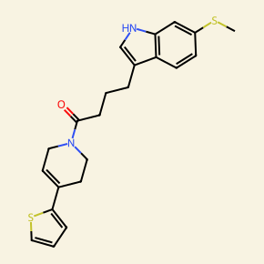 CSc1ccc2c(CCCC(=O)N3CC=C(c4cccs4)CC3)c[nH]c2c1